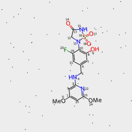 COc1cc(NCc2cc(O)c(N3CC(=O)NS3(=O)=O)c(F)c2)nc(OC)c1